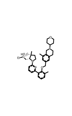 CCOC[C@H]1N(c2cccc(-c3cccc(C)c3OCc3cc(C)c4c(c3)CCN(C3CCOCC3)C4)n2)CC[C@@]1(C)C(=O)O